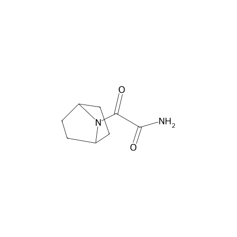 NC(=O)C(=O)N1C2CCC1CC2